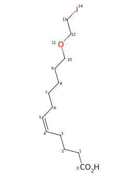 O=C(O)CCC/C=C\CCCCCOCCI